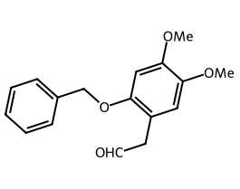 COc1cc(CC=O)c(OCc2ccccc2)cc1OC